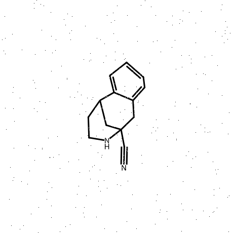 N#CC12Cc3ccccc3C(CCN1)C2